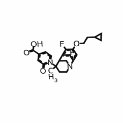 CC1(n2ccc(C(=O)O)cc2=O)CCN2CC1c1c(F)c(OCCC3CC3)cc2c1F